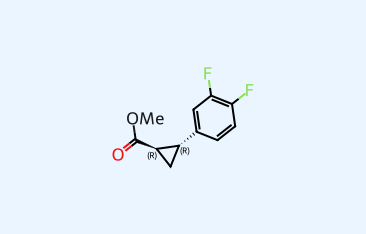 COC(=O)[C@@H]1C[C@H]1c1ccc(F)c(F)c1